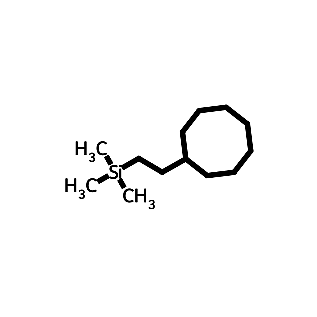 C[Si](C)(C)CCC1CCCCCCC1